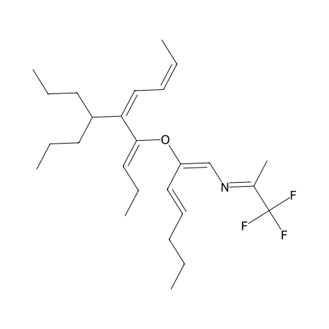 C\C=C/C=C(\C(=C\CC)OC(/C=C/CCC)=C/N=C(\C)C(F)(F)F)C(CCC)CCC